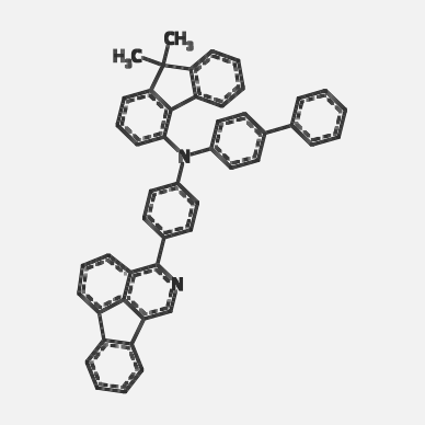 CC1(C)c2ccccc2-c2c(N(c3ccc(-c4ccccc4)cc3)c3ccc(-c4ncc5c6c(cccc46)-c4ccccc4-5)cc3)cccc21